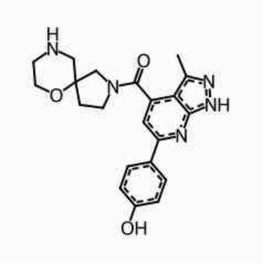 Cc1n[nH]c2nc(-c3ccc(O)cc3)cc(C(=O)N3CCC4(CNCCO4)C3)c12